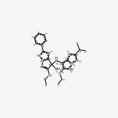 CCOC1=Nn2nc(-c3ccccc3)nc2C1(N)Nc1c(OCC)[nH]n2nc(C(C)C)nc12